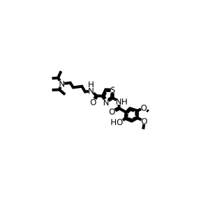 COc1cc(O)c(C(=O)Nc2nc(C(=O)NCCCCN(C(C)C)C(C)C)cs2)cc1OC